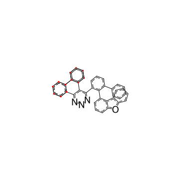 c1ccc(-c2ccccc2-c2nnnc(-c3cccc(-c4ccccc4)c3-c3cccc4oc5ccccc5c34)c2-c2ccccc2-c2ccccc2)cc1